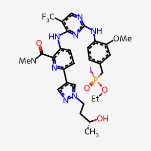 CCOP(=O)(I)Cc1ccc(Nc2ncc(C(F)(F)F)c(Nc3ccc(-c4cnn(CC[C@@H](C)O)c4)nc3C(=O)NC)n2)c(OC)c1